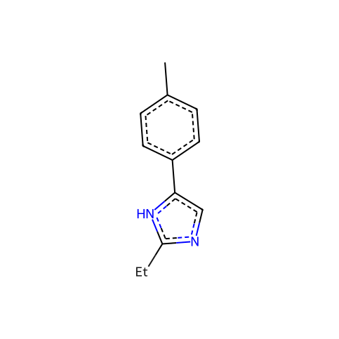 CCc1ncc(-c2ccc(C)cc2)[nH]1